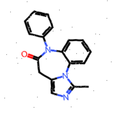 Cc1ncc2n1-c1ccccc1N(c1ccccc1)C(=O)C2